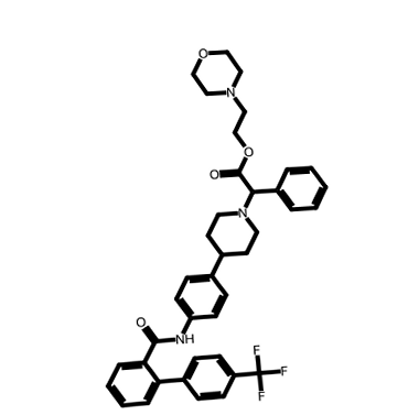 O=C(Nc1ccc(C2CCN(C(C(=O)OCCN3CCOCC3)c3ccccc3)CC2)cc1)c1ccccc1-c1ccc(C(F)(F)F)cc1